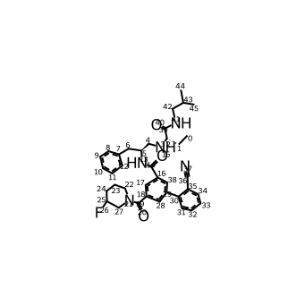 CC[C@H](NC[C@H](Cc1ccccc1)NC(=O)c1cc(C(=O)N2CCCC(F)C2)cc(-c2ccccc2C#N)c1)C(=O)NCC(C)C